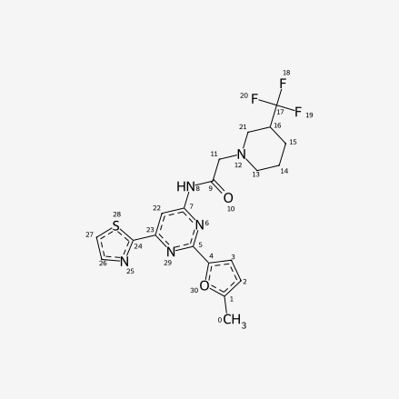 Cc1ccc(-c2nc(NC(=O)CN3CCCC(C(F)(F)F)C3)cc(-c3nccs3)n2)o1